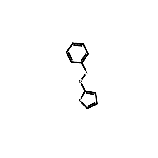 c1ccc(SOc2cccs2)cc1